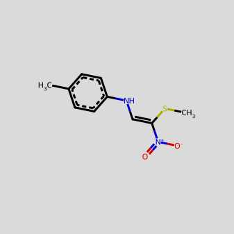 CSC(=CNc1ccc(C)cc1)[N+](=O)[O-]